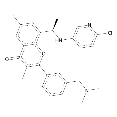 Cc1cc([C@@H](C)Nc2ccc(Cl)nc2)c2oc(-c3cccc(CN(C)C)c3)c(C)c(=O)c2c1